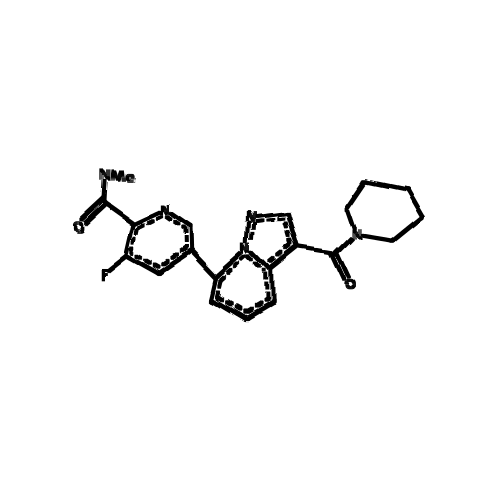 CNC(=O)c1ncc(-c2cccc3c(C(=O)N4CCCCC4)cnn23)cc1F